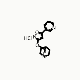 Cl.c1cncc(-c2cc(OC3CN4CCC3CC4)no2)c1